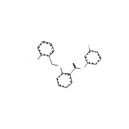 COc1ccccc1CNc1ccccc1C(=O)Nc1cccc(C(F)(F)F)c1